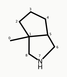 CC12CCCC1CNC2